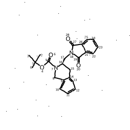 CC(C)(C)OC(=O)N1Cc2ccccc2C[C@@H]1CN1C(=O)c2ccccc2C1=O